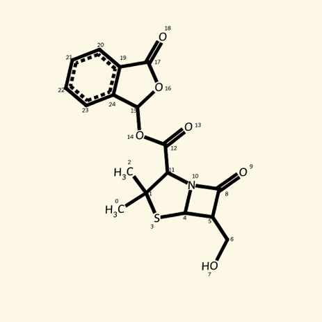 CC1(C)SC2C(CO)C(=O)N2C1C(=O)OC1OC(=O)c2ccccc21